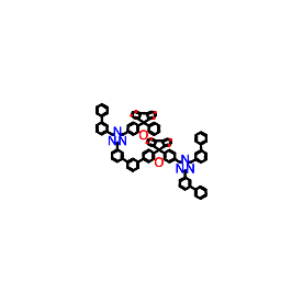 c1ccc(-c2cccc(-c3nc(-c4cccc(-c5cccc(-c6ccc7c(c6)Oc6cc(-c8nc(-c9cccc(-c%10ccccc%10)c9)nc(-c9cccc(-c%10ccccc%10)c9)n8)ccc6C76c7ccccc7-c7ccccc76)c5)c4)nc(-c4ccc5c(c4)Oc4ccccc4C54c5ccccc5-c5ccccc54)n3)c2)cc1